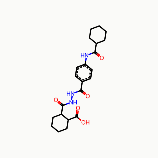 O=C(NNC(=O)C1CCCCC1C(=O)O)c1ccc(NC(=O)C2CCCCC2)cc1